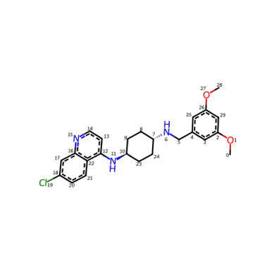 COc1cc(CN[C@H]2CC[C@H](Nc3ccnc4cc(Cl)ccc34)CC2)cc(OC)c1